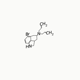 C=CCN(CC=C)C1Cc2c(Br)ccc3c2C(CN3)C1